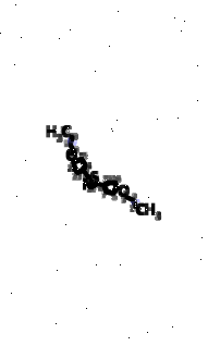 C/C=C/COc1ccc(-c2cnc(-c3ccc(OC/C=C/C)cc3)s2)cc1